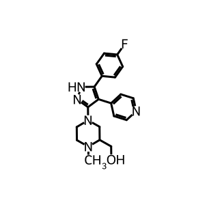 CN1CCN(c2n[nH]c(-c3ccc(F)cc3)c2-c2ccncc2)CC1CO